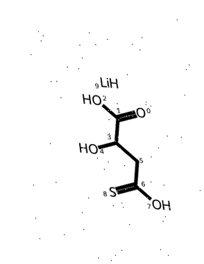 O=C(O)C(O)CC(O)=S.[LiH]